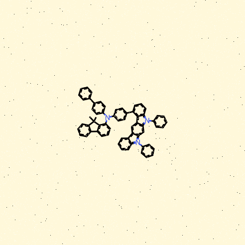 CC1(C)c2ccccc2-c2cccc(N(c3ccc(-c4ccccc4)cc3)c3ccc(-c4cccc5c4c4cc6c7ccccc7n(-c7ccccc7)c6cc4n5-c4ccccc4)cc3)c21